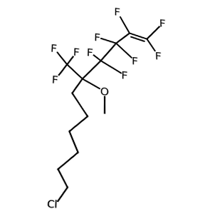 COC(CCCCCCCl)(C(F)(F)F)C(F)(F)C(F)(F)C(F)=C(F)F